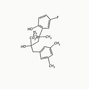 Cc1cc(C)cc(CC(O)(CC(C)(C)c2cc(F)ccc2O)C(=O)O)c1